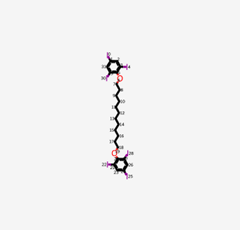 Ic1cc(I)c(OCCCCCCCCCCCCOc2c(I)cc(I)cc2I)c(I)c1